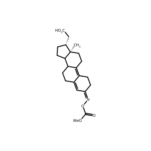 COC(=O)ON=C1C=C2CCC3C(=C2CC1)CC[C@@]1(C)C3CC[C@@H]1CC(=O)O